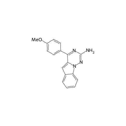 COc1ccc(-c2nc(N)nn3c2cc2ccccc23)cc1